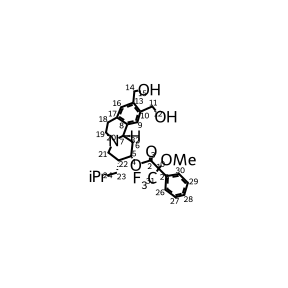 COC(C(=O)O[C@H]1C[C@H]2c3cc(CO)c(CO)cc3CCN2C[C@H]1CC(C)C)(c1ccccc1)C(F)(F)F